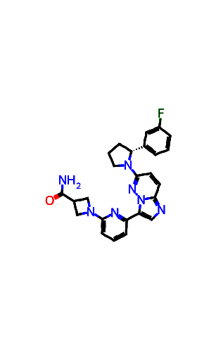 NC(=O)C1CN(c2cccc(-c3cnc4ccc(N5CCC[C@@H]5c5cccc(F)c5)nn34)n2)C1